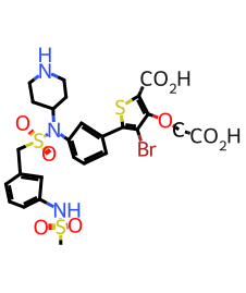 CS(=O)(=O)Nc1cccc(CS(=O)(=O)N(c2cccc(-c3sc(C(=O)O)c(OCC(=O)O)c3Br)c2)C2CCNCC2)c1